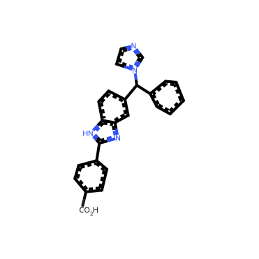 O=C(O)c1ccc(-c2nc3cc(C(c4ccccc4)n4ccnc4)ccc3[nH]2)cc1